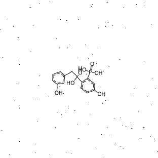 O=P(O)(O)c1cc(O)ccc1C(O)(O)Cc1cccc(O)c1